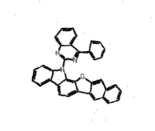 c1ccc(-c2nc(-n3c4ccccc4c4ccc5c6cc7ccccc7cc6oc5c43)nc3ccccc23)cc1